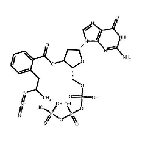 CC(Cc1ccccc1C(=O)OC1C[C@H](n2cnc3c(=O)[nH]c(N)nc32)O[C@@H]1COP(=O)(O)OP(=O)(O)OP(=O)(O)O)N=[N+]=[N-]